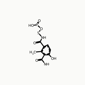 Cc1c(C(=O)NSO[P](=O)O)ccc(O)c1C([NH])=O